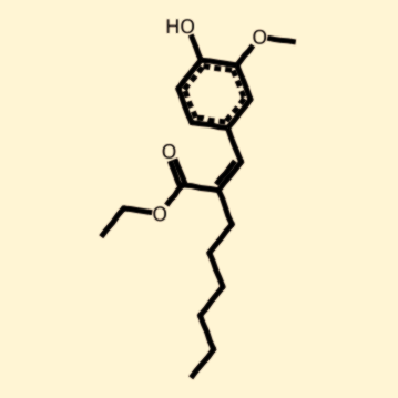 CCCCCCC(=Cc1ccc(O)c(OC)c1)C(=O)OCC